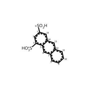 O=S(=O)(O)c1cc(S(=O)(=O)O)c2cc3ccccc3cc2c1